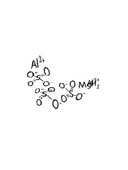 O=S(=O)([O-])[O-].O=S(=O)([O-])[O-].O=S(=O)([O-])[O-].[Al+3].[Al+3].[MgH2]